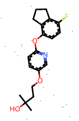 CC(C)(O)CCOc1ccc(Oc2ccc(F)c3c2CCC3)nc1